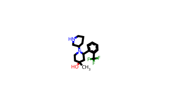 CC1(O)CCN(C2CCCNC2)C(c2ccccc2C(F)(F)F)C1